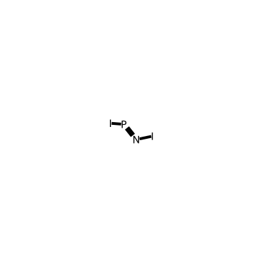 I/N=P/I